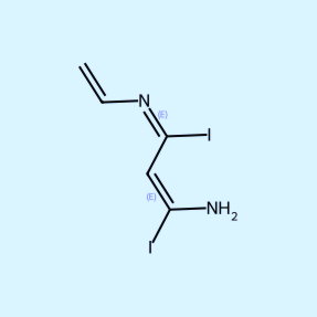 C=C/N=C(I)\C=C(/N)I